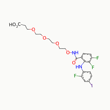 O=C(O)CCOCCOCCOCCONC(=O)c1ccc(F)c(F)c1Nc1ccc(I)cc1F